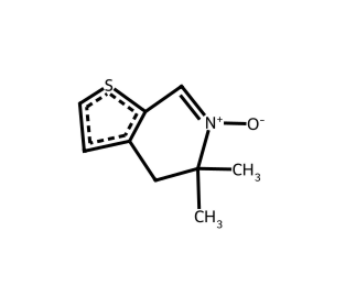 CC1(C)Cc2ccsc2C=[N+]1[O-]